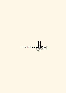 CCC=CCC=CCC=CCC=CCCCCCC(=O)NCCO